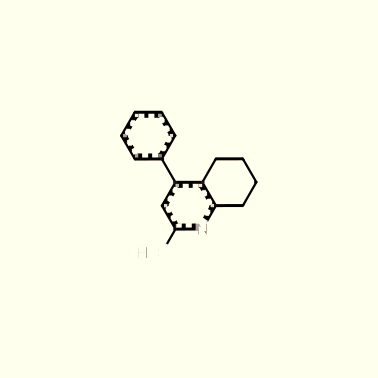 Cc1cc(-c2ccccc2)c2c(n1)CCCC2